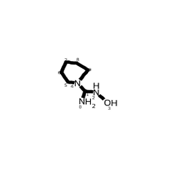 NC(NO)N1CCCCC1